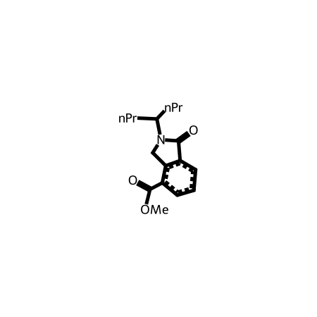 CCCC(CCC)N1Cc2c(C(=O)OC)cccc2C1=O